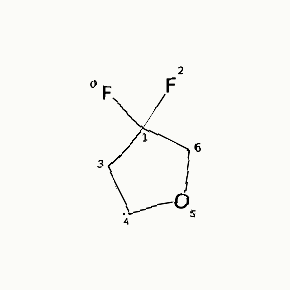 FC1(F)C[CH]OC1